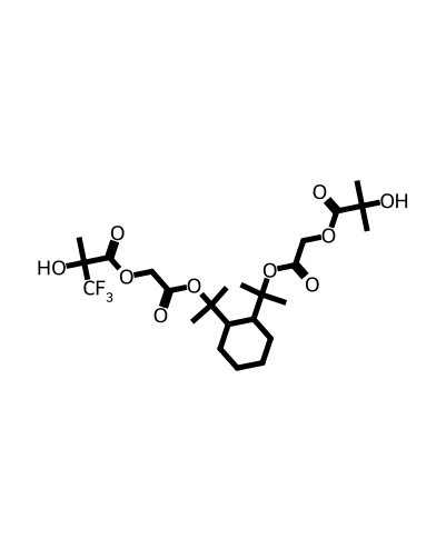 CC(C)(O)C(=O)OCC(=O)OC(C)(C)C1CCCCC1C(C)(C)OC(=O)COC(=O)C(C)(O)C(F)(F)F